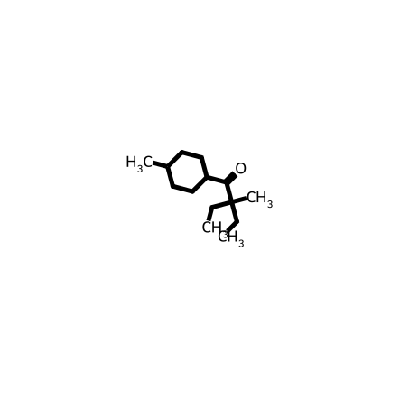 CCC(C)(CC)C(=O)C1CCC(C)CC1